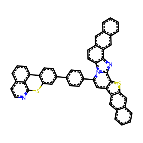 c1ccc2cc3c(ccc4c3nc3c5sc6cc7ccccc7cc6c5cc(-c5ccc(-c6ccc7c(c6)Sc6nccc8cccc-7c68)cc5)n43)cc2c1